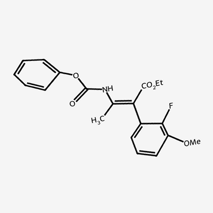 CCOC(=O)/C(=C(/C)NC(=O)Oc1ccccc1)c1cccc(OC)c1F